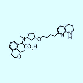 C[C@H]1OCCc2cccc([C@H](C(=O)O)N(C)[C@H]3CC[C@H](OCCCCc4ccc5c(n4)NCCC5)C3)c21